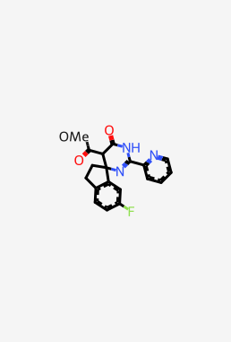 COC(=O)C1C(=O)NC(c2ccccn2)=NC12CCc1ccc(F)cc12